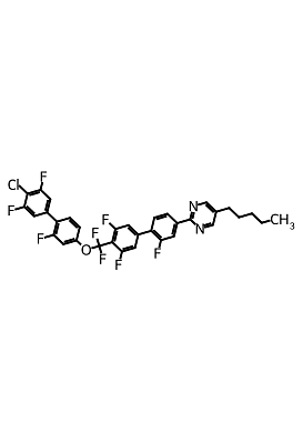 CCCCCc1cnc(-c2ccc(-c3cc(F)c(C(F)(F)Oc4ccc(-c5cc(F)c(Cl)c(F)c5)c(F)c4)c(F)c3)c(F)c2)nc1